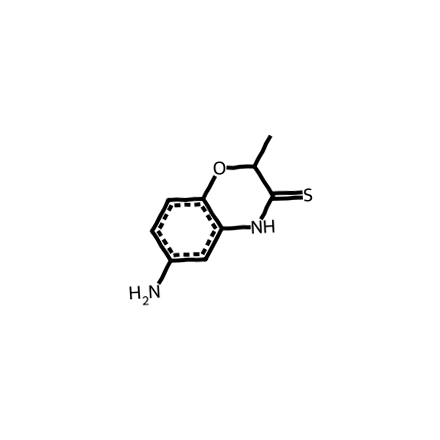 CC1Oc2ccc(N)cc2NC1=S